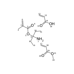 C=C(C)C(=O)OC(N)(CC)CC.C=CC(=O)O.C=CC(=O)OC